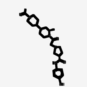 CC(=O)N1CCC(N2CCN(C(=O)CN3CC[C@@H](C(=O)Nc4ccc(O)cc4)C3)[C@H](C)C2)CC1